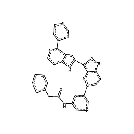 O=C(Cc1ccccc1)Nc1cncc(-c2ccc3[nH]nc(-c4cc5c(-c6ccncc6)nccc5[nH]4)c3n2)c1